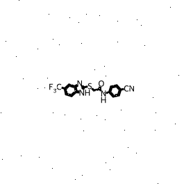 N#Cc1ccc(NC(=O)CSc2nc3cc(C(F)(F)F)ccc3[nH]2)cc1